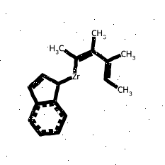 CC=C(C)C(C)=[C](C)[Zr][CH]1C=Cc2ccccc21